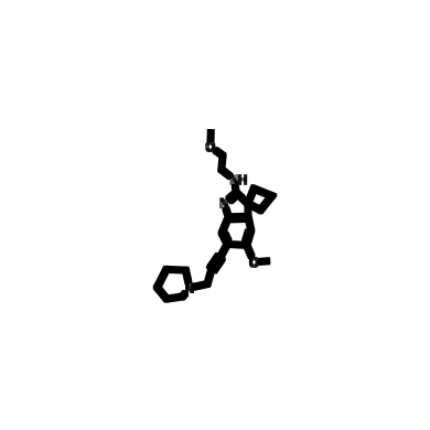 COCCNC1=Nc2cc(C#CCN3CCCCC3)c(OC)cc2C12CCC2